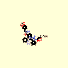 COC(=O)CC(=O)Nc1ccccc1-c1nc2ccc(C(=O)NCc3ccc4c(c3)OCO4)cn2c1NC1CCCCC1